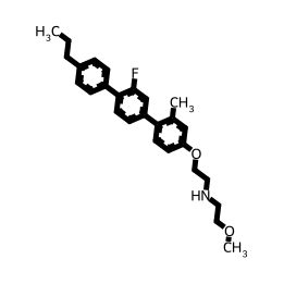 CCCc1ccc(-c2ccc(-c3ccc(OCCNCCOC)cc3C)cc2F)cc1